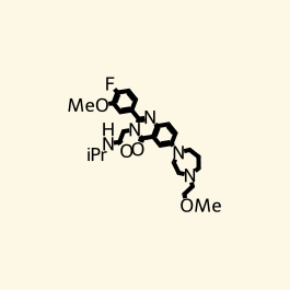 COCCN1CCCN(c2ccc3nc(-c4ccc(F)c(OC)c4)n(CC(=O)NC(C)C)c(=O)c3c2)CC1